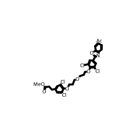 COC(=O)CCc1cc(Cl)c(OCCCOCCCOc2c(Cl)cc(-c3nc4ccc(C(C)=O)cc4o3)cc2Cl)c(Cl)c1